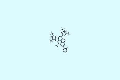 Cc1ccccc1-c1cc2ccc3c(-c4cc(C(C)(C)C)nc(C(C)(C)C)n4)cc(-c4cc(C(C)(C)C)nc(C(C)(C)C)n4)c4cc(C(C)C)c(c1)c2c34